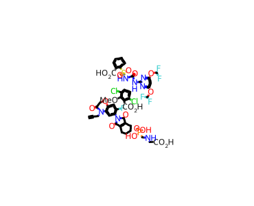 C#CCN1C(=O)COc2cc(F)c(N3C(=O)C4=C(CCCC4)C3=O)cc21.COc1c(Cl)ccc(Cl)c1C(=O)O.O=C(Nc1nc(OC(F)F)cc(OC(F)F)n1)NS(=O)(=O)c1ccccc1C(=O)O.O=C(O)CNCP(=O)(O)O